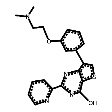 CN(C)CCOc1cccc(-c2csc3c(O)nc(-c4ccccn4)nc23)c1